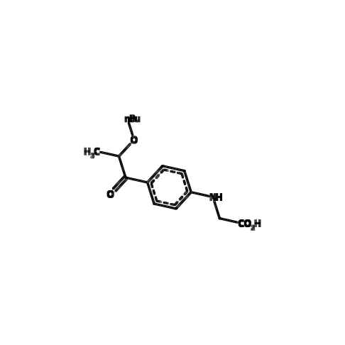 CCCCOC(C)C(=O)c1ccc(NCC(=O)O)cc1